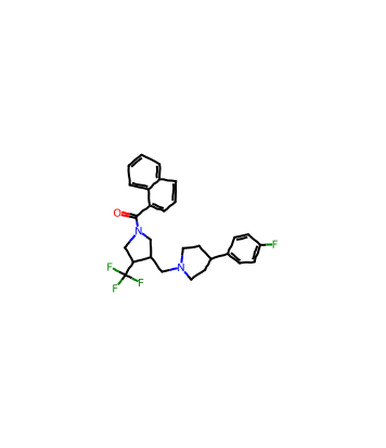 O=C(c1cccc2ccccc12)N1CC(CN2CCC(c3ccc(F)cc3)CC2)C(C(F)(F)F)C1